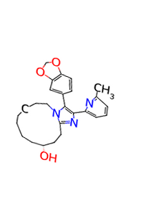 Cc1cccc(-c2nc3n(c2-c2ccc4c(c2)OCO4)CCCCCCC[C@@H](O)CC3)n1